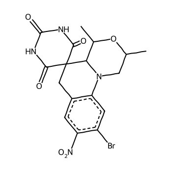 CC1CN2c3cc(Br)c([N+](=O)[O-])cc3CC3(C(=O)NC(=O)NC3=O)C2C(C)O1